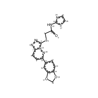 O=C(CSc1nnc2ccc(-c3ccc4c(c3)OCO4)nn12)Nc1nccs1